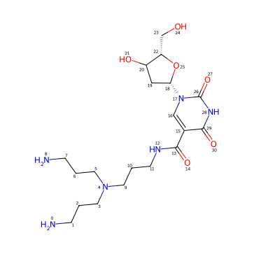 NCCCN(CCCN)CCCNC(=O)c1cn([C@@H]2CC(O)[C@H](CO)O2)c(=O)[nH]c1=O